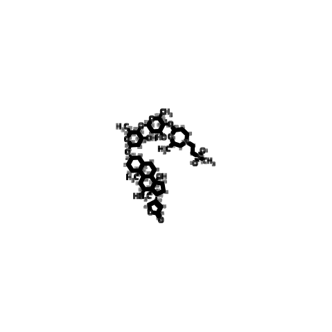 CC1CN(CCS(C)(=O)=O)CCC(O[C@@H]2[C@H](C)O[C@@H](O[C@@H]3[C@H](C)O[C@@H](O[C@H]4CC[C@@]5(C)C(CCC6C5C[C@H](O)[C@]5(C)[C@@H](C7=CC(=O)OC7)CC[C@]65O)C4)C[C@@H]3O)C[C@@H]2O)O1